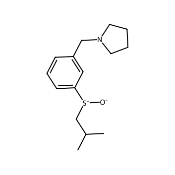 CC(C)C[S+]([O-])c1cccc(CN2CCCC2)c1